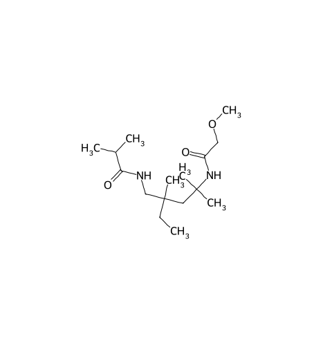 CCC(C)(CNC(=O)C(C)C)CC(C)(C)NC(=O)COC